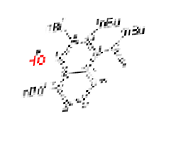 [C]=C(CCCC)c1c(CCCC)c(CCCC)c(O)c2c(CCCC)cccc12